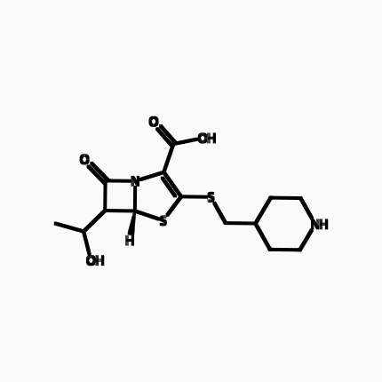 CC(O)C1C(=O)N2C(C(=O)O)=C(SCC3CCNCC3)S[C@H]12